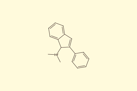 [CH3][Hf]([CH3])[CH]1C(c2ccccc2)=Cc2ccccc21